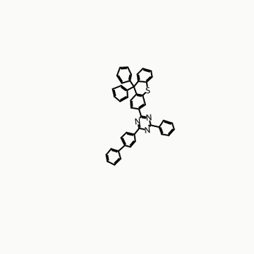 c1ccc(-c2ccc(-c3nc(-c4ccccc4)nc(-c4ccc5c(c4)Sc4ccccc4C5(c4ccccc4)c4ccccc4)n3)cc2)cc1